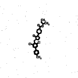 CCC(C)OC(=O)N1CCC(N2CC[C@@H](Cc3c(Cl)cc(-c4ccc(C)cc4)cc3Cl)C2=O)CC1